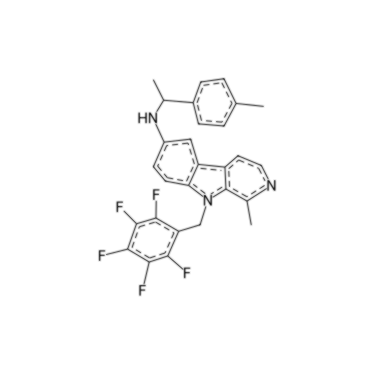 Cc1ccc(C(C)Nc2ccc3c(c2)c2ccnc(C)c2n3Cc2c(F)c(F)c(F)c(F)c2F)cc1